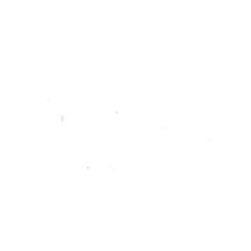 COc1ccc(C(OCCc2ccccc2)(c2ccc(OC)cc2)C2OC(n3cc(CCCN)c4cc(NS(C)(=O)=O)ccc43)CC2O)cc1